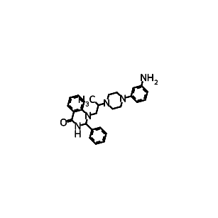 CC(CN1c2ccccc2C(=O)NC1c1ccccc1)N1CCN(c2cccc(N)c2)CC1